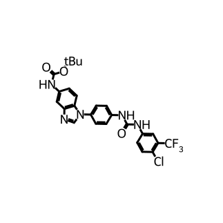 CC(C)(C)OC(=O)Nc1ccc2c(c1)ncn2-c1ccc(NC(=O)Nc2ccc(Cl)c(C(F)(F)F)c2)cc1